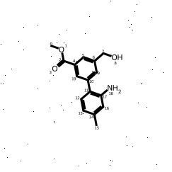 COC(=O)c1cc(CO)cc(-c2ccc(C)cc2N)c1